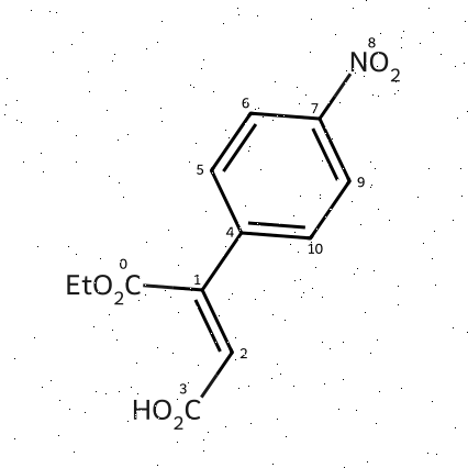 CCOC(=O)C(=CC(=O)O)c1ccc([N+](=O)[O-])cc1